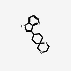 c1cnc2c(C3CCC4(CC3)COCCO4)c[nH]c2c1